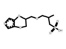 CC(COCC1COc2cscc2O1)CS(=O)(=O)O